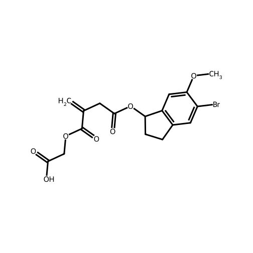 C=C(CC(=O)OC1CCc2cc(Br)c(OC)cc21)C(=O)OCC(=O)O